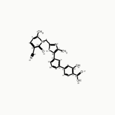 Cc1nc(Cn2c(C)ccc(C#N)c2=O)sc1-c1cccc(-c2ccc(C(=O)O)c(O)c2)c1